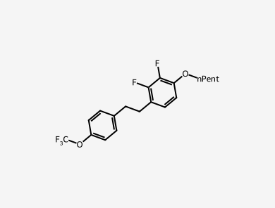 CCCCCOc1ccc(CCc2ccc(OC(F)(F)F)cc2)c(F)c1F